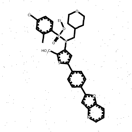 CCOP(=O)(c1ccc(Cl)cc1C)N(CC1CCOCC1)c1cc(-c2ccc(-c3cc4ncccc4o3)cc2)sc1C(=O)O